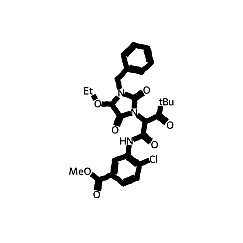 CCOC1C(=O)N(C(C(=O)Nc2cc(C(=O)OC)ccc2Cl)C(=O)C(C)(C)C)C(=O)N1Cc1ccccc1